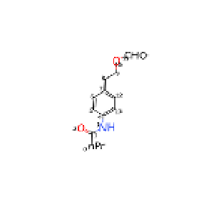 CCCC(=O)Nc1ccc(CCO[C]=O)cc1